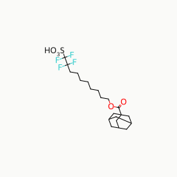 O=C(OCCCCCCCCC(F)(F)C(F)(F)S(=O)(=O)O)C12CC3CC(CC(C3)C1)C2